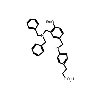 CC(C)COc1ccc(CNc2ccc(CCC(=O)O)cc2)cc1CN(Cc1ccccc1)Cc1ccccc1